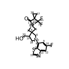 O=C(N1CC2(C1)CN(c1cc(F)cc3ncsc13)CC2CO)C1(C(F)(F)F)CC1